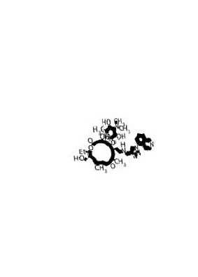 CC[C@H]1OC(=O)C[C@@H](O)[C@H](C)[C@@H](O[C@@H]2O[C@H](C)C(O)C(N(C)C)C2O)[C@@H](CCNCc2cn(-c3cccc4cnccc34)nn2)C[C@@H](C)C(=O)/C=C/C(C)=C/[C@@H]1CO